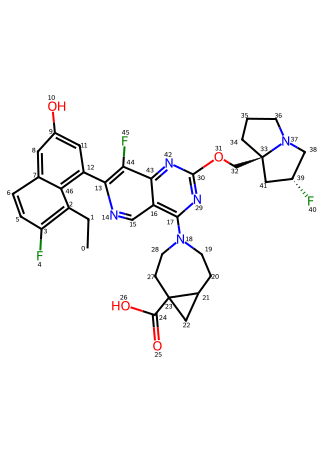 CCc1c(F)ccc2cc(O)cc(-c3ncc4c(N5CCC6CC6(C(=O)O)CC5)nc(OC[C@@]56CCCN5C[C@H](F)C6)nc4c3F)c12